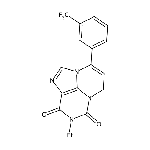 CCn1c(=O)c2ncn3c2n(c1=O)CC=C3c1cccc(C(F)(F)F)c1